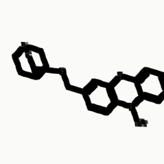 CCCN1c2ccccc2Sc2cc(COC3CN4CCC3CC4)ccc21